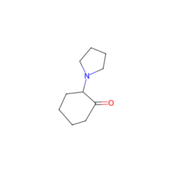 O=C1CCCCC1N1CCCC1